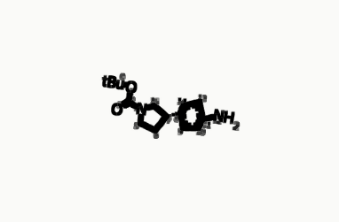 CC(C)(C)OC(=O)N1CC[C@@H](c2ccc(N)cc2)C1